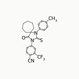 Cc1ccc(N2C(=S)N(c3ccc(C#N)c(C(F)(F)F)c3)C(=O)C23CCCCCC3)cc1